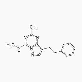 CNc1nc(C)nc2c(CCc3ccccc3)cnn12